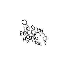 CCNC(=O)c1c(OCc2ccccc2)c(=O)c(-c2nnc(Cc3ccc(F)cc3)s2)cn1N(C)C(=O)OC(C)(C)C